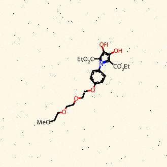 CCOC(=O)c1c(O)c(O)c(C(=O)OCC)n1-c1ccc(OCCOCCOCCOC)cc1